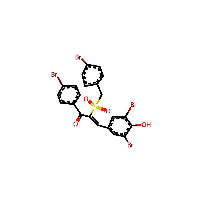 O=C(C(=Cc1cc(Br)c(O)c(Br)c1)S(=O)(=O)Cc1ccc(Br)cc1)c1ccc(Br)cc1